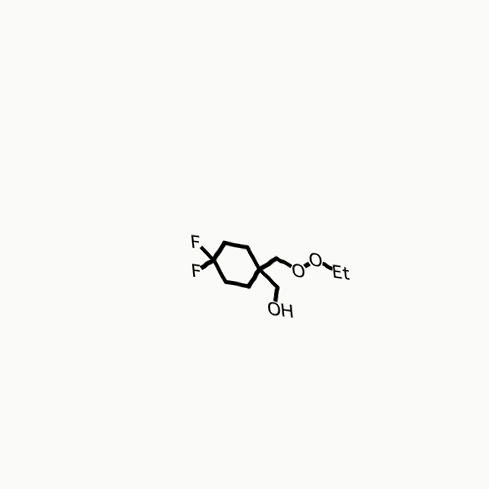 CCOOCC1(CO)CCC(F)(F)CC1